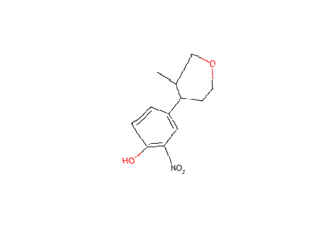 CC1COCCC1c1ccc(O)c([N+](=O)[O-])c1